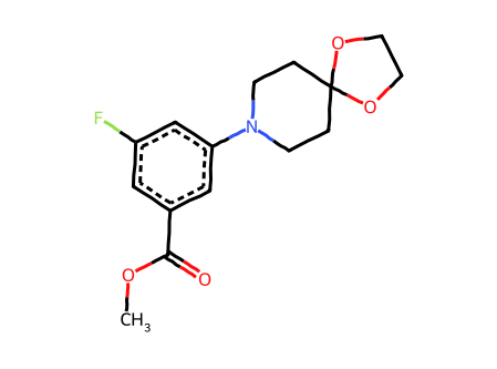 COC(=O)c1cc(F)cc(N2CCC3(CC2)OCCO3)c1